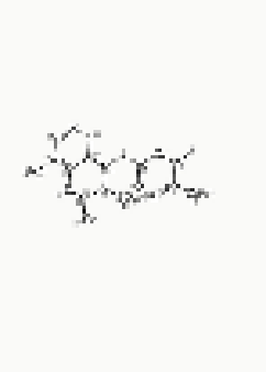 COC(=O)C(C)OC(=O)CN1c2cccc(C(C)C)c2O[C@H](C(C)C)C1S(=O)(=O)O